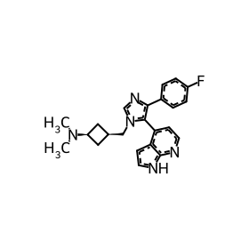 CN(C)[C@H]1C[C@@H](Cn2cnc(-c3ccc(F)cc3)c2-c2ccnc3[nH]ccc23)C1